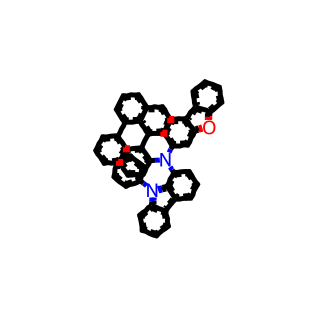 c1ccc(-c2cccc3cccc(-c4ccccc4N(c4ccc5c(c4)oc4ccccc45)c4cccc5c6ccccc6n(-c6ccccc6)c45)c23)cc1